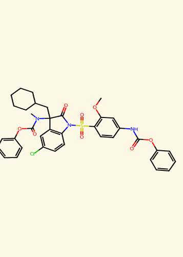 COc1cc(NC(=O)Oc2ccccc2)ccc1S(=O)(=O)N1C(=O)C(CC2CCCCC2)(N(C)C(=O)Oc2ccccc2)c2cc(Cl)ccc21